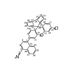 N#Cc1ccc(-c2ccc3c(c2)Oc2cc(Cl)ccc2C32c3ccccc3-c3ccccc32)c2ccccc12